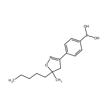 CCCCCC1(C)CC(c2ccc(B(O)O)cc2)=NO1